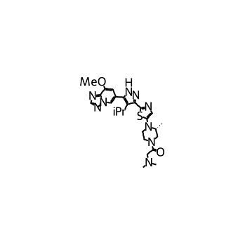 COc1cc(-c2[nH]nc(-c3ncc(N4CCN(C(=O)CN(C)C)C[C@H]4C)s3)c2C(C)C)cn2ncnc12